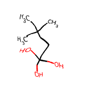 CC(C)(C)CC(O)(O)O